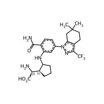 CC1(C)CCc2c(C(F)(F)F)nn(-c3ccc(C(N)=O)c(NC4CCC[C@H]4[C@H](N)C(=O)O)c3)c2C1